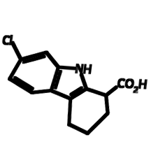 O=C(O)C1CCCc2c1[nH]c1cc(Cl)ccc21